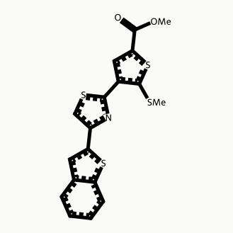 COC(=O)c1cc(-c2nc(-c3cc4ccccc4s3)cs2)c(SC)s1